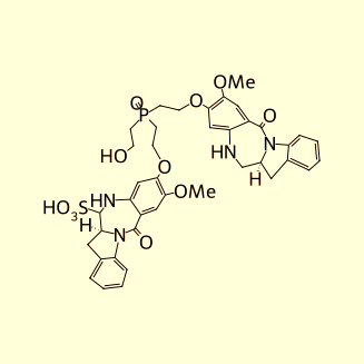 COc1cc2c(cc1OCCP(=O)(CCO)CCOc1cc3c(cc1OC)C(=O)N1c4ccccc4C[C@H]1C(S(=O)(=O)O)N3)NC[C@@H]1Cc3ccccc3N1C2=O